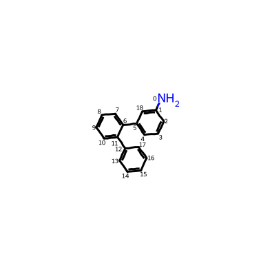 Nc1cccc(-c2ccccc2-c2ccccc2)c1